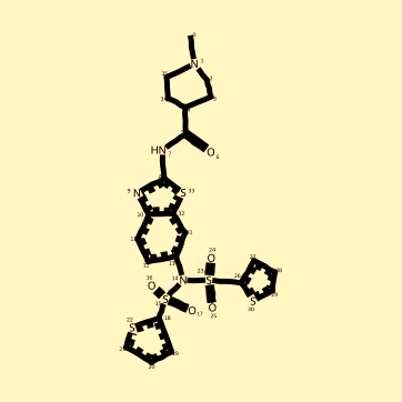 CN1CCC(C(=O)Nc2nc3ccc(N(S(=O)(=O)c4cccs4)S(=O)(=O)c4cccs4)cc3s2)CC1